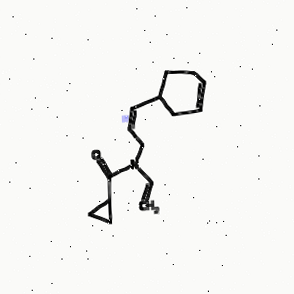 C=CN(C/C=C\C1CC=CCC1)C(=O)C1CC1